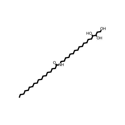 CCCCCCCCCCCCCCCCCC(=O)NCCCCCCCCCCCCCCC(O)C(O)CCO